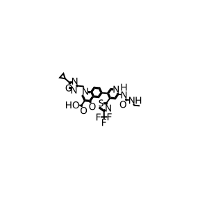 CCNC(=O)Nc1cc(-c2nc(C(F)(F)F)cs2)c(-c2ccc3c(c2)c(=O)c(C(=O)O)cn3Cc2noc(C3CC3)n2)cn1